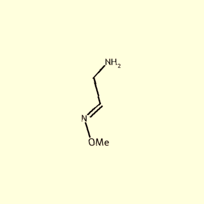 CON=CCN